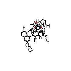 CCSc1nc2c3c(nc(-c4cc(OCOC)cc5ccc(F)c(C#C[Si](C(C)C)(C(C)C)C(C)C)c45)c(F)c3n1)O[C@@H](C)[C@@H]1[C@@H]3CC[C@H](CN21)N3C(=O)OC(C)(C)C